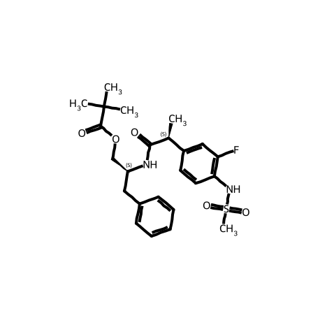 C[C@H](C(=O)N[C@H](COC(=O)C(C)(C)C)Cc1ccccc1)c1ccc(NS(C)(=O)=O)c(F)c1